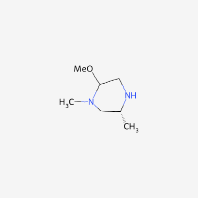 COC1CN[C@H](C)CN1C